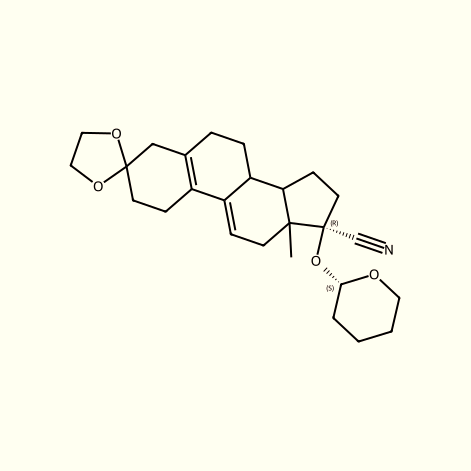 CC12CC=C3C4=C(CCC3C1CC[C@@]2(C#N)O[C@H]1CCCCO1)CC1(CC4)OCCO1